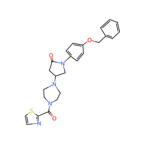 O=C(c1nccs1)N1CCN(C2CC(=O)N(c3ccc(OCc4ccccc4)cc3)C2)CC1